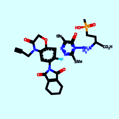 C#CCN1C(=O)COc2cc(F)c(N3C(=O)C4=C(CCCC4)C3=O)cc21.CP(=O)(O)CCC(N)C(=O)O.CSc1nnc(C(C)(C)C)c(=O)n1N